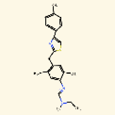 CCN(C)/C=N/c1cc(C)c(Cc2nc(-c3ccc(C)cc3)cs2)cc1C